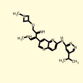 CN/C=C(\C(=N)COC1CN(C)C1)c1cnc2ccc(Nc3cc(C(C)C)cnn3)nc2c1